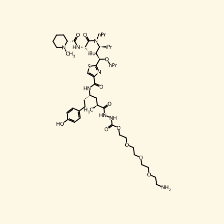 CCCO[C@H](C[C@H](C(C)C)N(CCC)C(=O)[C@@H](NC(=O)[C@H]1CCCCN1C)[C@@H](C)CC)c1nc(C(=O)N[C@@H](CCc2ccc(O)cc2)C[C@H](C)C(=O)NNC(=O)OCCOCCOCCOCCN)cs1